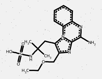 CCOCc1nc2c(N)nc3ccccc3n2c1CC(C)(C)NS(=O)(=O)O